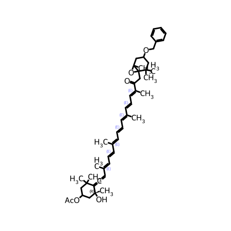 CC(=O)OC1CC(C)(C)C(=C=C/C(C)=C/C=C/C(C)=C/C=C/C=C(C)/C=C/C=C(\C)C(=O)CC23OC2(C)CC(OCc2ccccc2)CC3(C)C)[C@](C)(O)C1